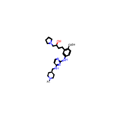 COc1ccc(Nc2nccc(NCC3CCN(C(C)=O)CC3)n2)cc1CCC(O)CN1CCCC1